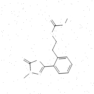 Cn1nc(-c2ccccc2CCNC(=O)OC(C)(C)C)oc1=O